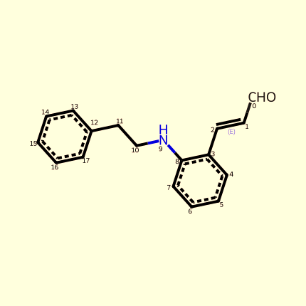 O=C/C=C/c1ccccc1NCCc1ccccc1